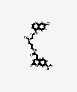 CCN(CCCNC(=O)Cc1cc(=O)oc2cc(N(C)C)ccc12)CCNc1ccnc2cc(Cl)ccc12